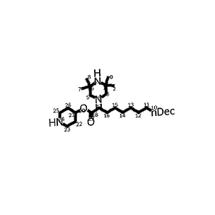 CC1(C)CNCC(C)(C)N1.CCCCCCCCCCCCCCCCCC(=O)OC1CCNCC1